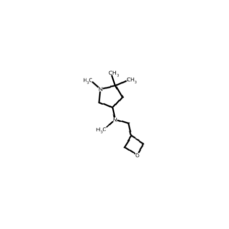 CN(CC1COC1)C1CN(C)C(C)(C)C1